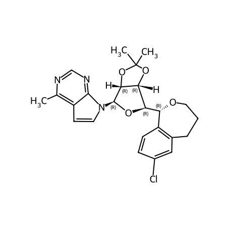 Cc1ncnc2c1ccn2[C@@H]1O[C@H]([C@@H]2OCCCc3cc(Cl)ccc32)[C@H]2OC(C)(C)O[C@H]21